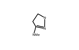 CNC1=N[N]CC1